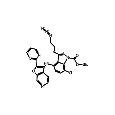 CC(C)(C)OC(=O)n1nc(CCCN=[N+]=[N-])c2c(Nc3c(-c4ncccn4)oc4cnccc34)ccc(Cl)c21